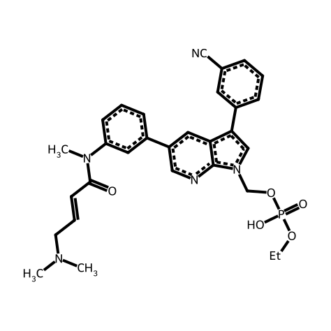 CCOP(=O)(O)OCn1cc(-c2cccc(C#N)c2)c2cc(-c3cccc(N(C)C(=O)C=CCN(C)C)c3)cnc21